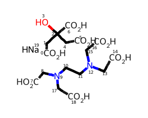 O=C(O)CC(O)(CC(=O)O)C(=O)O.O=C(O)CN(CCN(CC(=O)O)CC(=O)O)CC(=O)O.[NaH]